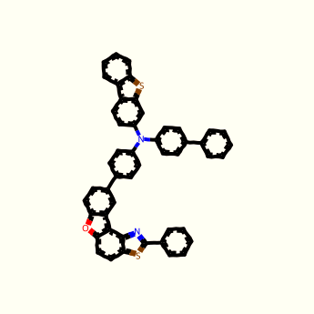 c1ccc(-c2ccc(N(c3ccc(-c4ccc5oc6ccc7sc(-c8ccccc8)nc7c6c5c4)cc3)c3ccc4c(c3)sc3ccccc34)cc2)cc1